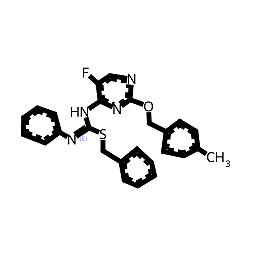 Cc1ccc(COc2ncc(F)c(N/C(=N\c3ccccc3)SCc3ccccc3)n2)cc1